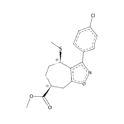 COC(=O)[C@H]1CC[C@@H](SC)c2c(-c3ccc(Cl)cc3)noc2C1